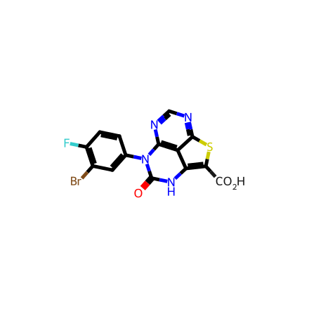 O=C(O)c1sc2ncnc3c2c1NC(=O)N3c1ccc(F)c(Br)c1